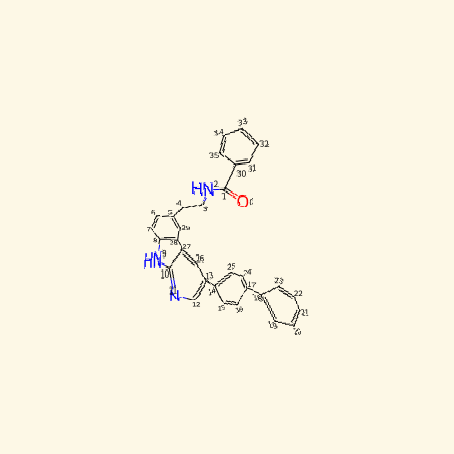 O=C(NCCc1ccc2[nH]c3ncc(-c4ccc(-c5ccccc5)cc4)cc3c2c1)c1ccccc1